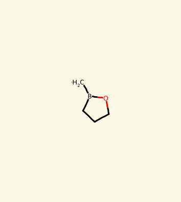 [CH2]B1CCCO1